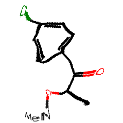 CNOC(C)C(=O)c1ccc(Cl)cc1